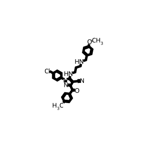 COc1ccc(CNCCCNc2c(C#N)c(C(=O)c3ccc(C)cc3)nn2-c2ccc(Cl)cc2)cc1